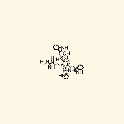 N=C(N)NCCC[C@H](NC(=O)[C@H](Cc1c[nH]c2ccccc12)NC(=O)[C@@H]1CCCN1)C(=O)N[C@@H](Cc1c[nH]c2ccccc12)C(=O)O